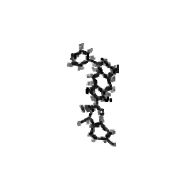 Cc1ccc(C(C)NC(=O)c2nc3cc4c(-c5ccncc5)n[nH]c4cc3[nH]2)cc1